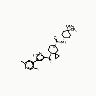 CO[C@]1(C(F)(F)F)CC[C@H](NC(=O)[C@H]2CCN(C(=O)c3cc(-c4cc(C)ncc4F)[nH]n3)C3(CC3)C2)CC1